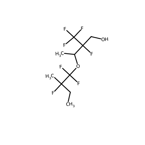 CCC(C)(F)C(F)(F)OC(C)C(F)(CO)C(F)(F)F